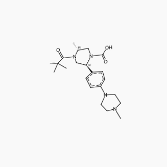 C[C@@H]1CN(C(=O)O)[C@@H](c2ccc(N3CCN(C)CC3)cc2)CN1C(=O)C(C)(C)C